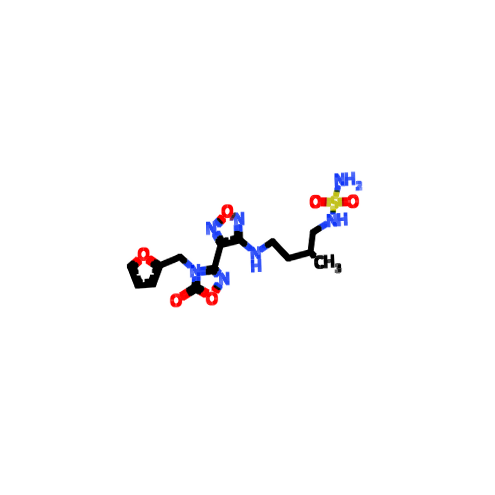 CC(CCNc1nonc1-c1noc(=O)n1Cc1ccco1)CNS(N)(=O)=O